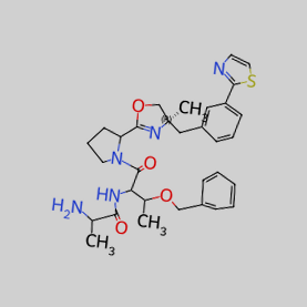 CC(N)C(=O)NC(C(=O)N1CCCC1C1=N[C@](C)(Cc2cccc(-c3nccs3)c2)CO1)C(C)OCc1ccccc1